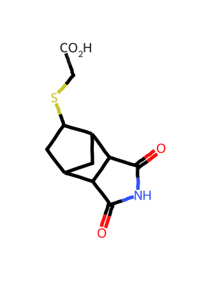 O=C(O)CSC1CC2CC1C1C(=O)NC(=O)C21